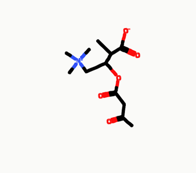 CC(=O)CC(=O)OC(C[N+](C)(C)C)C(C)C(=O)[O-]